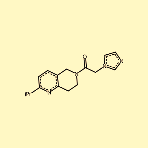 CC(C)c1ccc2c(n1)CCN(C(=O)Cn1ccnc1)C2